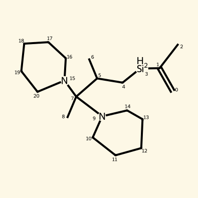 C=C(C)[SiH2]CC(C)C(C)(N1CCCCC1)N1CCCCC1